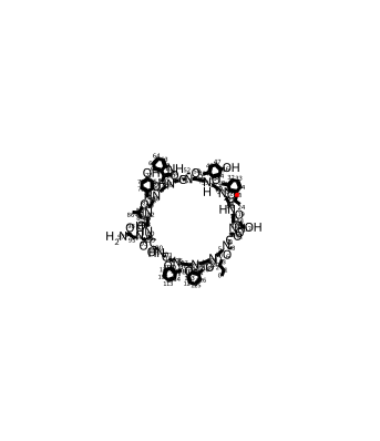 CCCC[C@H]1C(=O)N(C)CC(=O)N[C@@H](CC(=O)O)C(=O)N[C@@H](C(C)C)C(=O)N(C)[C@@H](Cc2ccccc2)C(=O)N[C@@H](Cc2ccc(O)cc2)C(=O)N(C)CC(=O)N[C@@H](Cc2c[nH]c3ccccc23)C(=O)N[C@@H](Cc2ccc(O)cc2)C(=O)N[C@@H](CC(C)C)C(=O)N[C@H](C(=O)NCC(N)=O)CC(=O)NCC(=O)N[C@@H](Cc2ccccc2)C(=O)N(C)[C@@H](Cc2ccccc2)C(=O)N1C